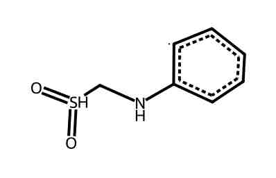 O=[SH](=O)CNc1[c]cccc1